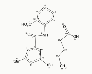 CC(C)(C)c1cc(C(=O)Nc2ccccc2C(=O)O)cc(C(C)(C)C)c1.CCCCC(=O)O